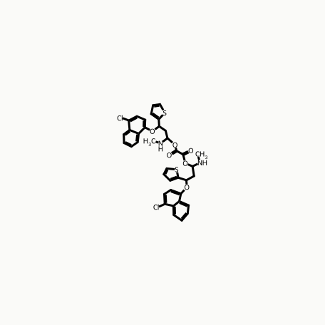 CNC(CC(Oc1ccc(Cl)c2ccccc12)c1cccs1)OC(=O)C(=O)OC(CC(Oc1ccc(Cl)c2ccccc12)c1cccs1)NC